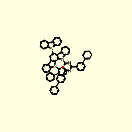 C1=CC(c2cccc(-c3nc(-c4ccc(-c5ccccc5)cc4)nc(-n4c5ccccc5c5c(-n6c7ccccc7c7ccccc76)cc6c7ccccc7n(-c7ccccc7-c7ccccc7)c6c54)n3)c2)=CCC1